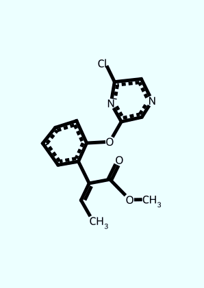 CC=C(C(=O)OC)c1ccccc1Oc1cncc(Cl)n1